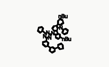 CCCCc1ccc2c(c1)c1c(ccc3c4cc(CCCC)ccc4n(-c4ccccc4)c31)n2-c1nc(-c2ccccc2)nc(-c2cccc(-c3cccc(-c4ccccc4)c3)c2)n1